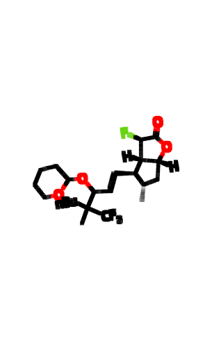 CCCCC(C)(C(/C=C/[C@H]1[C@H]2[C@@H](C[C@@H]1C)OC(=O)[C@@H]2F)OC1CCCCO1)C(F)(F)F